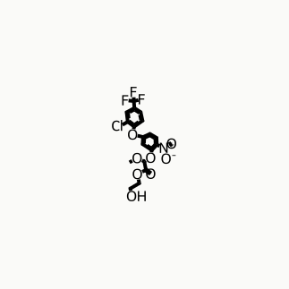 COC(Oc1cc(Oc2ccc(C(F)(F)F)cc2Cl)ccc1[N+](=O)[O-])C(=O)OCCO